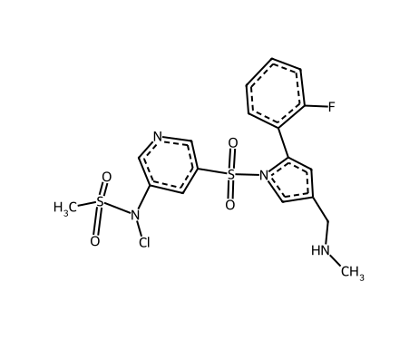 CNCc1cc(-c2ccccc2F)n(S(=O)(=O)c2cncc(N(Cl)S(C)(=O)=O)c2)c1